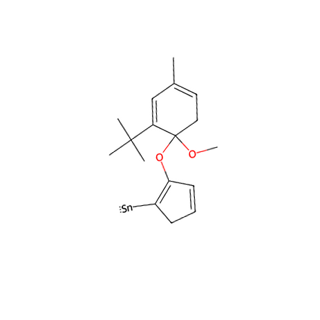 COC1(OC2=[C]([Sn])CC=C2)CC=C(C)C=C1C(C)(C)C